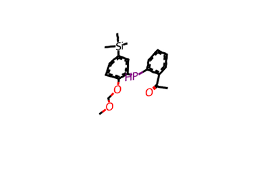 COCOc1ccc([Si](C)(C)C)cc1Pc1ccccc1C(C)=O